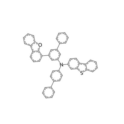 c1ccc(-c2ccc(N(c3cc(-c4ccccc4)cc(-c4cccc5c4oc4ccccc45)c3)c3ccc4c(c3)sc3ccccc34)cc2)cc1